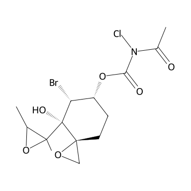 CC(=O)N(Cl)C(=O)O[C@@H]1CC[C@]2(CO2)[C@@](O)(C2(C)OC2C)[C@@H]1Br